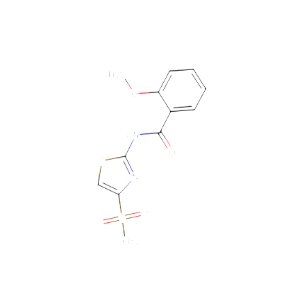 COc1ccccc1C(=O)Nc1nc(S(C)(=O)=O)cs1